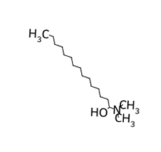 CCCCCCCCCCCCCCC(O)N(C)C